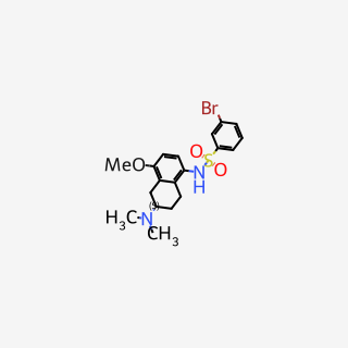 COc1ccc(NS(=O)(=O)c2cccc(Br)c2)c2c1C[C@@H](N(C)C)CC2